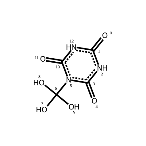 O=c1[nH]c(=O)n(C(O)(O)O)c(=O)[nH]1